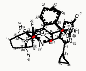 O=c1cc(-c2ccc(N3[C@@H]4CC[C@H]3CC(OCc3c(-c5ccccc5OC(F)(F)F)noc3C3CC3)C4)nc2)o[nH]1